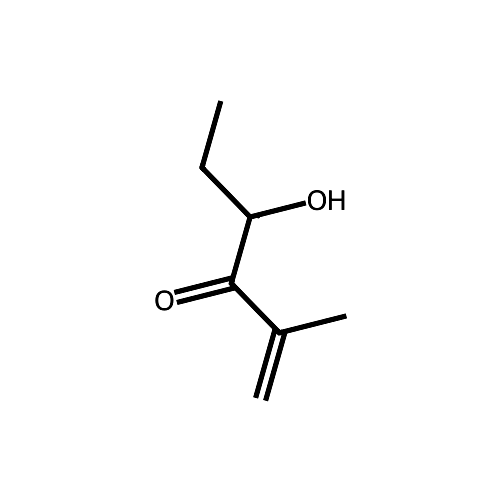 C=C(C)C(=O)[C](O)CC